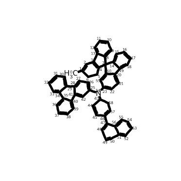 CC1=CC2=C(CC1)C1(c3ccccc32)c2ccccc2-c2ccc(N(c3ccc4c5ccccc5c5ccccc5c4c3)C3C=CC(c4cccc5ccccc45)=CC3)cc21